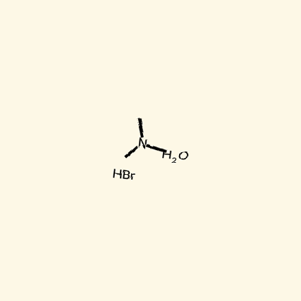 Br.CN(C)C.O